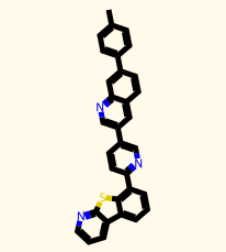 Cc1ccc(-c2ccc3cc(-c4ccc(-c5cccc6c5sc5ncccc56)nc4)cnc3c2)cc1